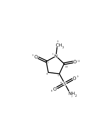 CN1C(=O)CC(S(N)(=O)=O)C1=O